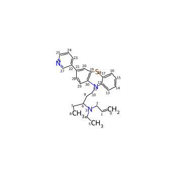 C=CCN(CC)C(CC)CCN1c2ccccc2Sc2cc(-c3cccnc3)ccc21